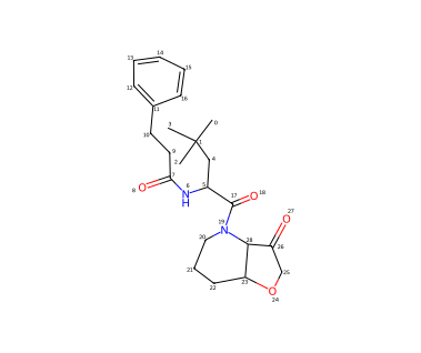 CC(C)(C)CC(NC(=O)CCc1ccccc1)C(=O)N1CCCC2OCC(=O)C21